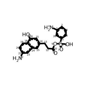 Nc1cccc(P(=O)(O)OC(=O)CCc2cc(O)c3ccc(N)cc3c2)c1